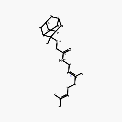 CC(C)=CCC/C(C)=C/CNC(=O)COC1(C)C2CC3CC(C2)CC1C3